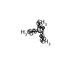 COC(=O)CN1CCN(Cc2cccc(C(=O)OC)n2)CCN(Cc2cccc(C(=O)OC)n2)Cc2cccc(n2)C1